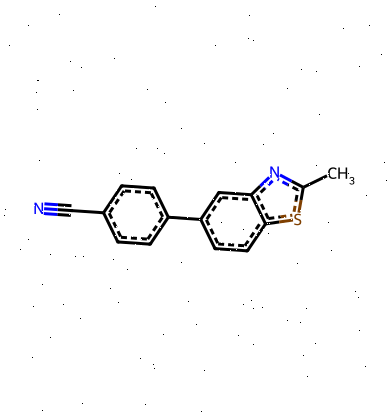 Cc1nc2cc(-c3ccc(C#N)cc3)ccc2s1